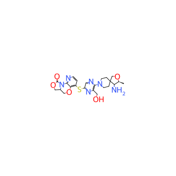 C[C@@H]1OCC2(CCN(c3ncc(Sc4ccnc5c4OCC4COC(=O)N54)nc3CO)CC2)[C@@H]1N